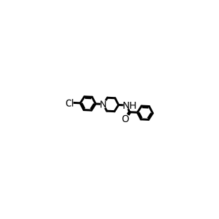 O=C(NC1CCN(c2ccc(Cl)cc2)CC1)c1ccccc1